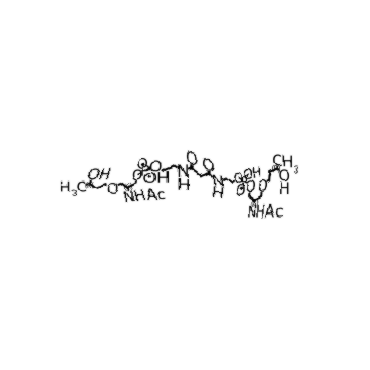 CC(=O)N[C@@H](COCC[C@@H](C)O)COP(=O)(O)OCCNC(=O)CC(=O)NCCOP(=O)(O)OC[C@H](COCC[C@@H](C)O)NC(C)=O